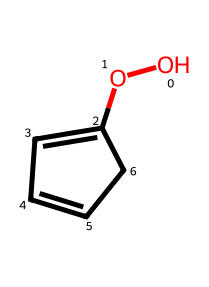 OOC1=CC=CC1